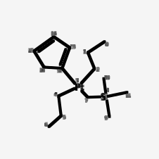 CC[CH2][Pt]([CH2]CC)([CH2][Si](C)(C)C)[C]1=CC=CC1